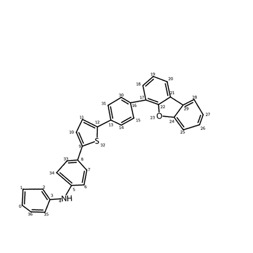 c1ccc(Nc2ccc(-c3ccc(-c4ccc(-c5cccc6c5oc5ccccc56)cc4)s3)cc2)cc1